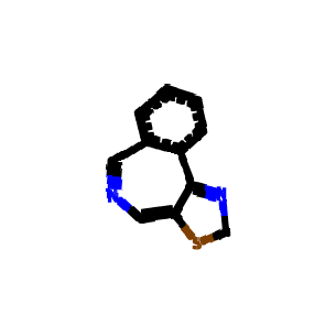 C1=NC=C2SCN=C2c2ccccc21